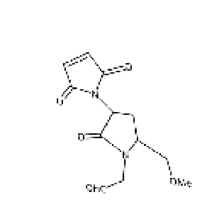 COCC1CC(N2C(=O)C=CC2=O)C(=O)N1CC=O